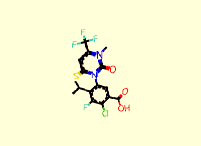 CC(C)c1c(-n2c(=S)cc(C(F)(F)F)n(C)c2=O)cc(C(=O)O)c(Cl)c1F